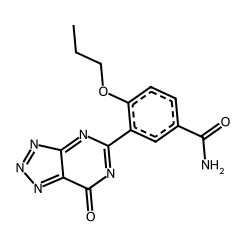 CCCOc1ccc(C(N)=O)cc1C1=NC(=O)C2=NN=NC2=N1